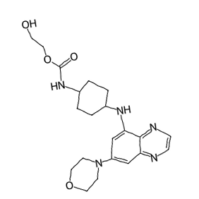 O=C(NC1CCC(Nc2cc(N3CCOCC3)cc3nccnc23)CC1)OCCO